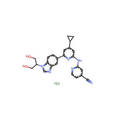 Cl.N#Cc1ccnc(Nc2cc(C3CC3)cc(-c3ccc4c(c3)ncn4C(CO)CO)n2)c1